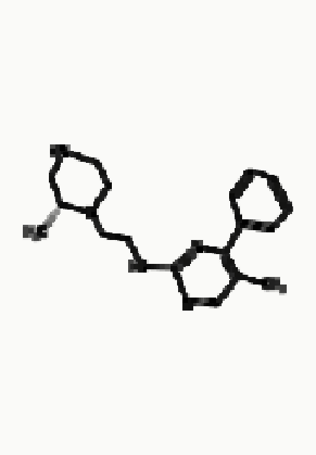 Cc1cnc(NCCN2CCNC[C@H]2C)nc1-c1ccccc1